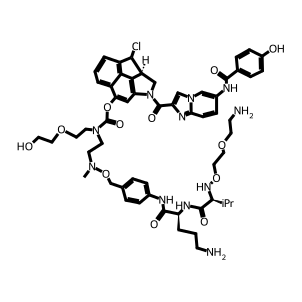 CC(C)[C@H](NOCCOCCN)C(=O)N[C@@H](CCCN)C(=O)Nc1ccc(CON(C)CCN(CCOCCO)C(=O)Oc2cc3c4c5c(cccc25)C(Cl)[C@H]4CN3C(=O)c2cn3cc(NC(=O)c4ccc(O)cc4)ccc3n2)cc1